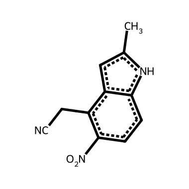 Cc1cc2c(CC#N)c([N+](=O)[O-])ccc2[nH]1